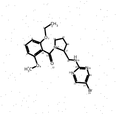 CCOc1cccc(OC)c1C(=O)N1CCCC1CNc1ncc(Br)cn1